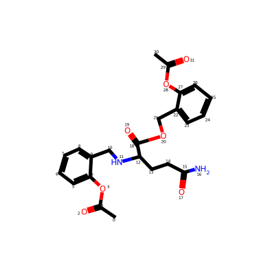 CC(=O)Oc1ccccc1CNC(CCC(N)=O)C(=O)OCc1ccccc1OC(C)=O